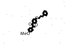 COc1ccc(-c2coc3cc(OCCCc4ccccc4)ccc3c2=O)cc1